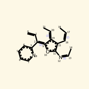 C=C/C(c1ccccn1)=c1/oc(/N=C\C)c(/C=C\C)/c1=C/C